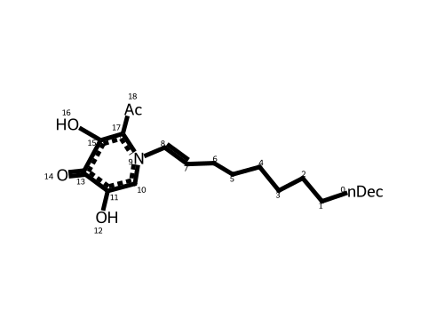 CCCCCCCCCCCCCCCCC=Cn1cc(O)c(=O)c(O)c1C(C)=O